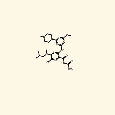 CCc1nc(Nc2nc(N(C)CC(C)C)c(Cl)nc2C(=O)NC(=N)N)nc(N2CCN(C)CC2)n1